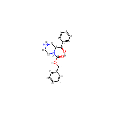 O=C(c1ccccc1)C1CNCCN1C(=O)OCc1ccccc1